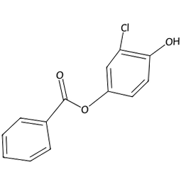 O=C(Oc1ccc(O)c(Cl)c1)c1ccccc1